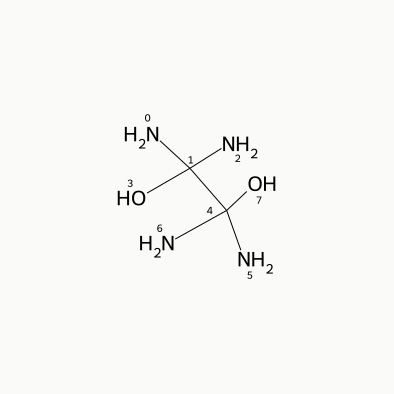 NC(N)(O)C(N)(N)O